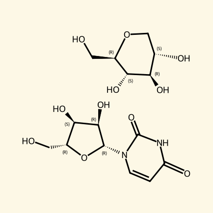 O=c1ccn([C@@H]2O[C@H](CO)[C@@H](O)[C@H]2O)c(=O)[nH]1.OC[C@H]1OC[C@H](O)[C@@H](O)[C@@H]1O